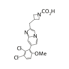 COc1ccc(Cl)c(Cl)c1-c1ccn2cc(CC3CN(C(=O)O)C3)nc2c1